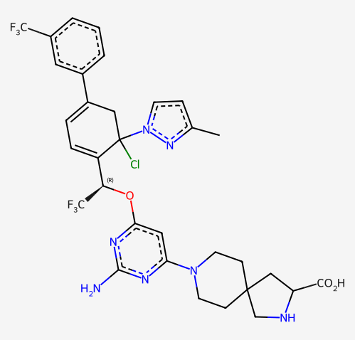 Cc1ccn(C2(Cl)CC(c3cccc(C(F)(F)F)c3)=CC=C2[C@@H](Oc2cc(N3CCC4(CC3)CNC(C(=O)O)C4)nc(N)n2)C(F)(F)F)n1